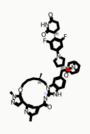 Cc1cc2cc(n1)-c1cnn(C)c1OCCC[C@@H](C)CN1/C(=N/C2=O)Nc2ccc(CN3CC4CC(C3)N4C(=O)[C@@H]3CCN(c4cc(F)c([C@H]5CCC(=O)NC5=O)c(F)c4)C3)cc21